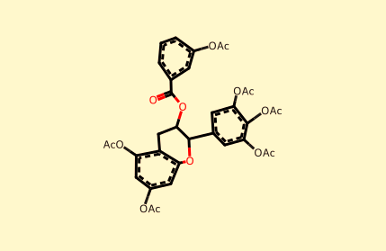 CC(=O)Oc1cccc(C(=O)OC2Cc3c(OC(C)=O)cc(OC(C)=O)cc3OC2c2cc(OC(C)=O)c(OC(C)=O)c(OC(C)=O)c2)c1